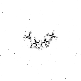 N.NOP(=O)(O)O.NOP(=O)(O)O.O=S(=O)(O)O.O=[N+]([O-])O